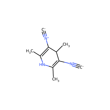 [C-]#[N+]C1=C(C)NC(C)=C([N+]#[C-])C1C